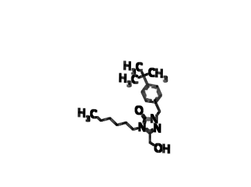 CCCCCCn1c(CO)nn(Cc2ccc(C(C)(C)C)cc2)c1=O